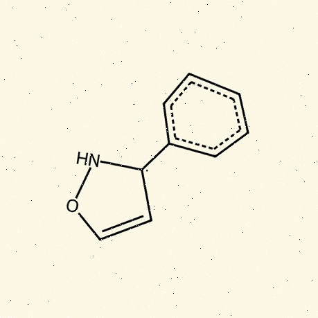 C1=C[C](c2ccccc2)NO1